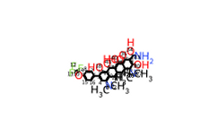 CN(C)c1cc(-c2ccc(OC(F)(F)F)cc2)c(O)c2c1C[C@H]1C[C@H]3[C@H](N(C)C)C(O)=C(C(N)O)C(=O)[C@@]3(O)C(O)=C1C2=O